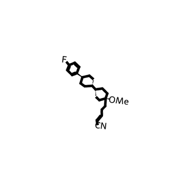 CO[C@]1(CCC=CC#N)CC[C@H]([C@H]2CC[C@H](c3ccc(F)cc3)CC2)CC1